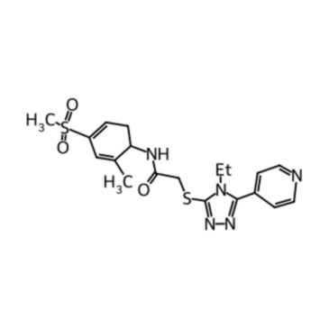 CCn1c(SCC(=O)NC2CC=C(S(C)(=O)=O)C=C2C)nnc1-c1ccncc1